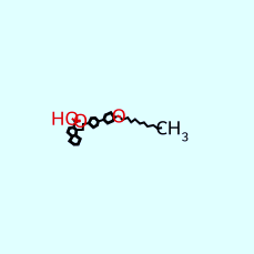 CCCCCCCCCCOc1ccc(-c2ccc(CCc3c(C(=O)O)ccc4ccccc34)cc2)cc1